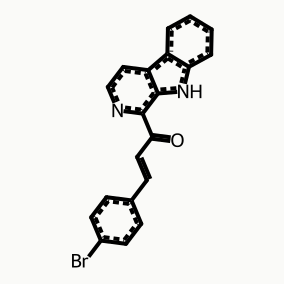 O=C(/C=C/c1ccc(Br)cc1)c1nccc2c1[nH]c1ccccc12